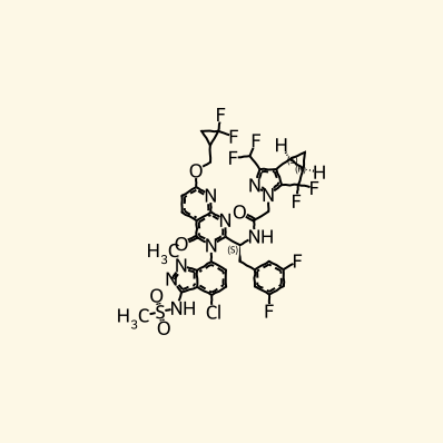 Cn1nc(NS(C)(=O)=O)c2c(Cl)ccc(-n3c([C@H](Cc4cc(F)cc(F)c4)NC(=O)Cn4nc(C(F)F)c5c4C(F)(F)[C@@H]4C[C@H]54)nc4nc(OCC5CC5(F)F)ccc4c3=O)c21